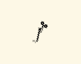 CN(CCC(c1ccccc1)c1ccccc1)CC(C)(C)OC(=O)C=CCCCCCCN